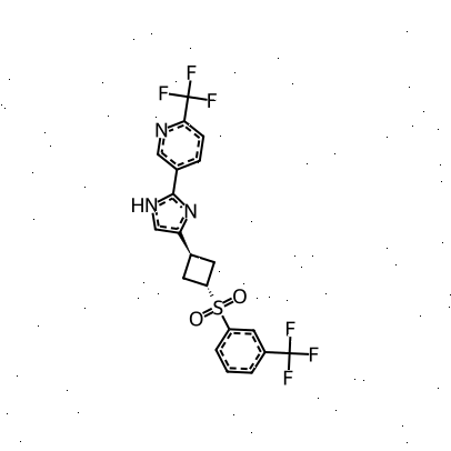 O=S(=O)(c1cccc(C(F)(F)F)c1)[C@H]1C[C@H](c2c[nH]c(-c3ccc(C(F)(F)F)nc3)n2)C1